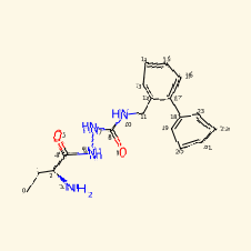 CC[C@H](N)C(=O)NNC(=O)NCc1ccccc1-c1ccccc1